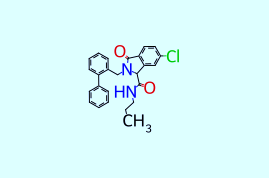 CCCNC(=O)C1c2cc(Cl)ccc2C(=O)N1Cc1ccccc1-c1ccccc1